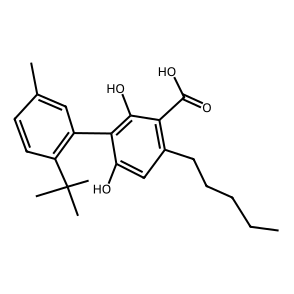 CCCCCc1cc(O)c(-c2cc(C)ccc2C(C)(C)C)c(O)c1C(=O)O